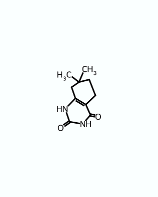 CC1(C)CCc2c([nH]c(=O)[nH]c2=O)C1